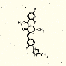 Cc1cn(-c2ccc(C=C3O[C@@H](C)CN([C@@H](C)c4ccc(F)nc4F)C3=O)cc2F)cn1